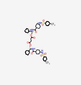 O=C(CCC(=O)OC[C@H](NC(=O)C1CCC(NS(=O)(=O)c2ccc(C(F)(F)F)cc2)CC1)c1ccccc1)OC[C@H](NC(=O)C1CCC(NS(=O)(=O)c2ccc(C(F)(F)F)cc2)CC1)c1ccccc1